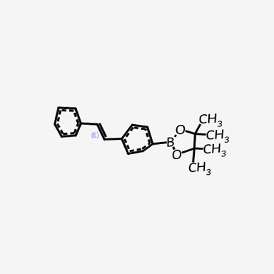 CC1(C)OB(c2ccc(/C=C/c3ccccc3)cc2)OC1(C)C